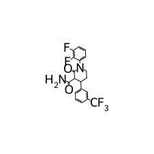 NC(=O)C1C(=O)N(c2cccc(F)c2F)CCC1c1cccc(C(F)(F)F)c1